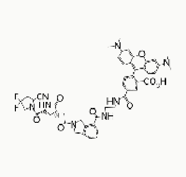 CN(C)c1ccc2c(c1)OC1=CC(N(C)C)C=CC1=C2c1ccc(C(=O)NCCNC(=O)c2cccc3c2CN(C(=O)C[C@@H]2C[C@@H](C(=O)N4CC(F)(F)CC4C#N)NC2=O)C3)cc1C(=O)O